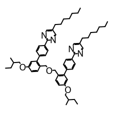 CCCCCCCc1cnc(-c2ccc(-c3cc(OCC(C)CC)ccc3COCc3ccc(OCC(C)CC)cc3-c3ccc(-c4ncc(CCCCCCC)cn4)cc3)cc2)nc1